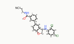 N#CCCNC(=O)c1cccc(-c2ccc3c(c2)C(Nc2ccc(Cl)cc2Cl)CO3)c1